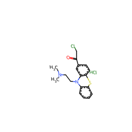 CN(C)CCN1c2ccccc2Sc2ccc(C(=O)CCl)cc21.Cl